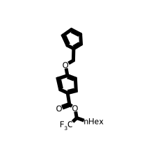 CCCCCCC(OC(=O)c1ccc(OCc2ccccc2)cc1)C(F)(F)F